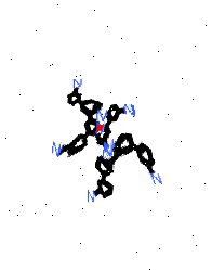 N#Cc1cccc(-c2ccc3c(c2)c2cc(-c4cccc(C#N)c4)ccc2n3-c2ccnc(-c3cc(C#N)ccc3-n3c4ccc(-c5cccc(C#N)c5)cc4c4cc(-c5cccc(C#N)c5)ccc43)c2)c1